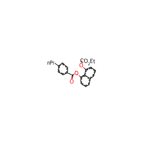 CCCc1ccc(C(=O)Oc2cccc3cccc(OC(=O)OCC)c23)cc1